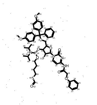 COc1ccc(C(OCC2OC(n3ccc(NC(=O)COc4ccccc4)nc3=O)C(F)C2OP(OCCCCSC=O)N(C(C)C)C(C)C)(c2ccccc2)c2ccc(OC)cc2)cc1